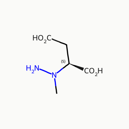 CN(N)[C@@H](CC(=O)O)C(=O)O